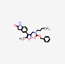 CCCCN(Cc1noc(C)c1-c1ccc2c(c1)CC(=O)N2)C(=O)OCc1ccccc1